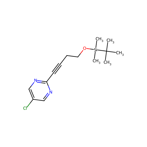 CC(C)(C)[Si](C)(C)OCCC#Cc1ncc(Cl)cn1